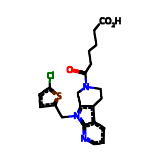 O=C(O)CCCCC(=O)N1CCc2c(n(Cc3ccc(Cl)s3)c3ncccc23)C1